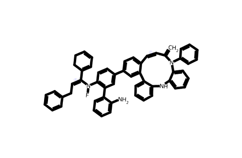 C=C1/C=C\c2ccc(-c3ccc(N(F)/C(=C\Cc4ccccc4)C4=CC=CCC4)c(-c4ccccc4N)c3)cc2-c2ccccc2Nc2ccccc2N1c1ccccc1